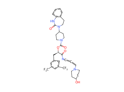 O=C(N=C=C=CN1CCC(O)CC1)[C@@H](Cc1cc(C(F)(F)F)cc(C(F)(F)F)c1)OC(=O)N1CCC(N2CCc3ccccc3NC2=O)CC1